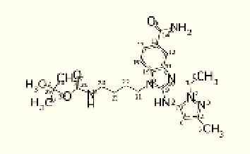 CCn1nc(C)cc1Nc1nc2cc(C(N)=O)ccc2n1CCCCNC(=O)OC(C)(C)C